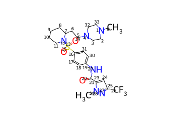 CN1CCN(CCC2CCCCN2S(=O)(=O)c2ccc(NC(=O)c3cc(C(F)(F)F)nn3C)cc2)CC1